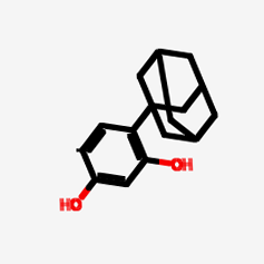 Oc1[c]cc(C23CC4CC(CC(C4)C2)C3)c(O)c1